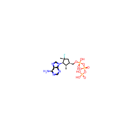 C[C@@H]1[C@H](COP(=O)(O)OP(=O)(O)OP(=O)(O)O)C[C@@](C)(F)[C@@H]1n1cnc2c(N)ncnc21